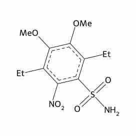 CCc1c(OC)c(OC)c(CC)c(S(N)(=O)=O)c1[N+](=O)[O-]